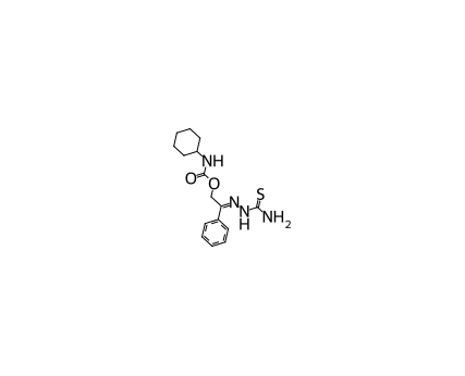 NC(=S)NN=C(COC(=O)NC1CCCCC1)c1ccccc1